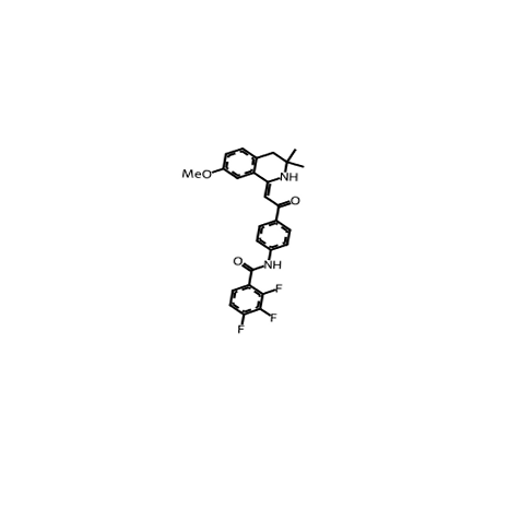 COc1ccc2c(c1)C(=CC(=O)c1ccc(NC(=O)c3ccc(F)c(F)c3F)cc1)NC(C)(C)C2